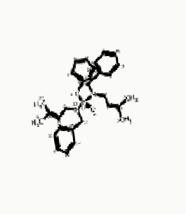 CC(C)=CCN(Cc1ccccc1)P(=O)(Oc1ccccc1)N(CC=C(C)C)Cc1ccccc1